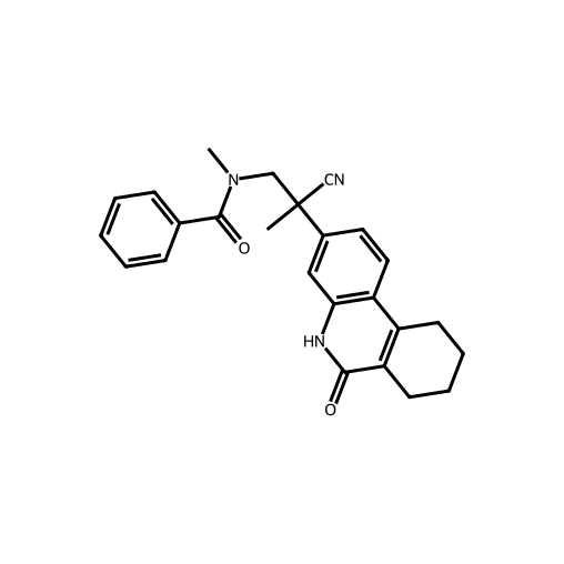 CN(CC(C)(C#N)c1ccc2c3c(c(=O)[nH]c2c1)CCCC3)C(=O)c1ccccc1